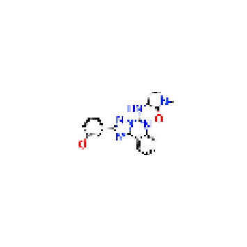 COc1cccc(-c2nc3c4ccccc4nc(NC4CCN(C)C4=O)n3n2)c1